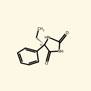 CC[C@]1(c2ccccc2)NC(=O)NC1=O